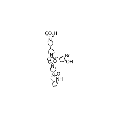 O=C(O)CCN1CCC(C2CCN(C(=O)[C@@H](Cc3ccc(O)c(Br)c3)OC(=O)N3CCC(N4CCc5ccccc5NC4=O)CC3)CC2)CC1